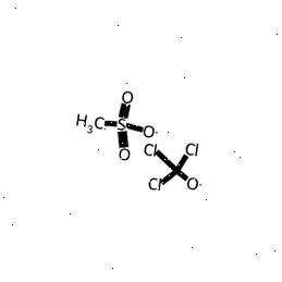 CS([O])(=O)=O.[O]C(Cl)(Cl)Cl